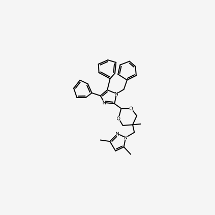 Cc1cc(C)n(CC2(C)COC(c3nc(-c4ccccc4)c(-c4ccccc4)n3Cc3ccccc3)OC2)n1